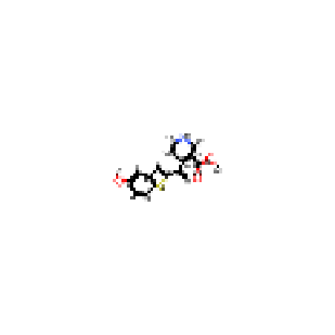 C=C(c1cc2cc(OC)ccc2s1)c1ccncc1C(=O)OC